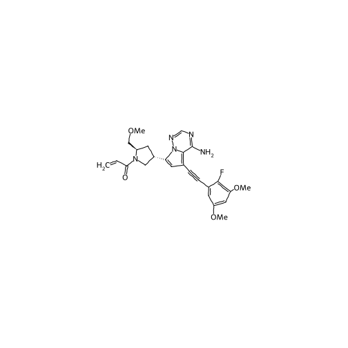 C=CC(=O)N1C[C@@H](c2cc(C#Cc3cc(OC)cc(OC)c3F)c3c(N)ncnn23)C[C@@H]1COC